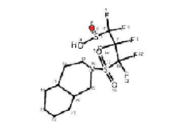 O=S(=O)(O)C(F)(F)C(F)(F)C(F)(F)S(=O)(=O)N1CCC2CCCCC2C1